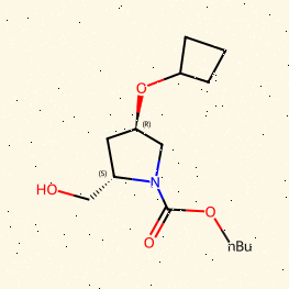 CCCCOC(=O)N1C[C@H](OC2CCC2)C[C@H]1CO